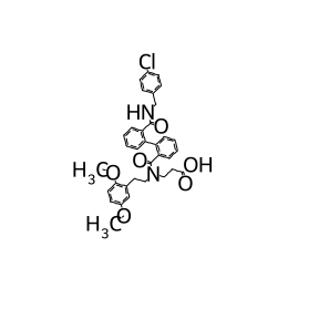 COc1ccc(OC)c(CCN(CCC(=O)O)C(=O)c2ccccc2-c2ccccc2C(=O)NCc2ccc(Cl)cc2)c1